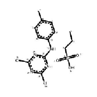 CCCS(=O)(=O)O.Cc1ccc(Nc2nc(Cl)nc(Cl)n2)cc1